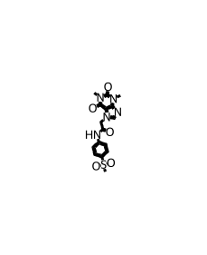 Cn1c(=O)c2c(ncn2CC(=O)Nc2ccc(S(C)(=O)=O)cc2)n(C)c1=O